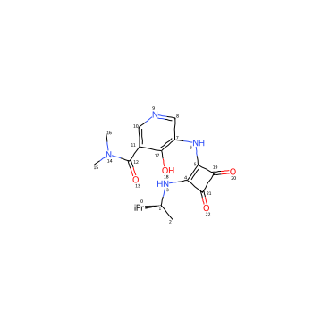 CC(C)[C@H](C)Nc1c(Nc2cncc(C(=O)N(C)C)c2O)c(=O)c1=O